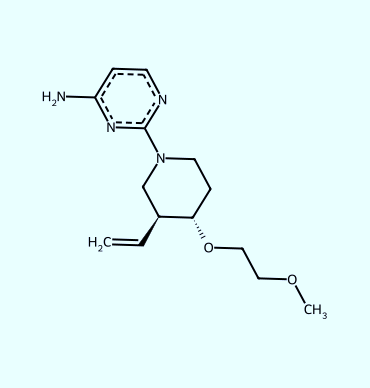 C=C[C@H]1CN(c2nccc(N)n2)CC[C@@H]1OCCOC